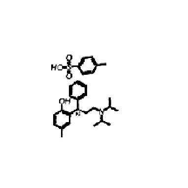 Cc1ccc(O)c([C@H](CCN(C(C)C)C(C)C)c2ccccc2)c1.Cc1ccc(S(=O)(=O)O)cc1